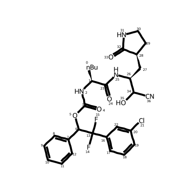 CCCC[C@H](NC(=O)OC(c1ccccc1)C(F)(F)c1cccc(Cl)c1)C(=O)N[C@@H](C[C@@H]1CCNC1=O)C(O)C#N